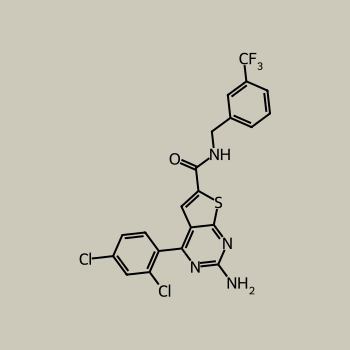 Nc1nc(-c2ccc(Cl)cc2Cl)c2cc(C(=O)NCc3cccc(C(F)(F)F)c3)sc2n1